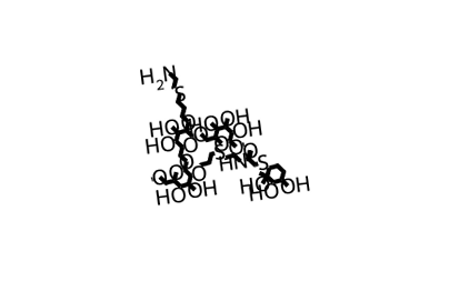 COCC1OC(OCC2OC(OCC3OC(OC)C(O)C(O)C3O)C(OCCCSCCN)C(O)C2O)C(OCCCSCCNC(=O)CSC2CCC(O)C(O)C2(C)O)C(O)C1O